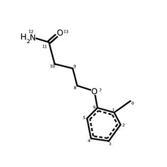 Cc1ccccc1OCCCC(N)=O